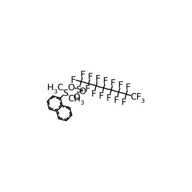 CS(C)(OS(=O)(=O)C(F)(F)C(F)(F)C(F)(F)C(F)(F)C(F)(F)C(F)(F)C(F)(F)C(F)(F)F)c1cccc2ccccc12